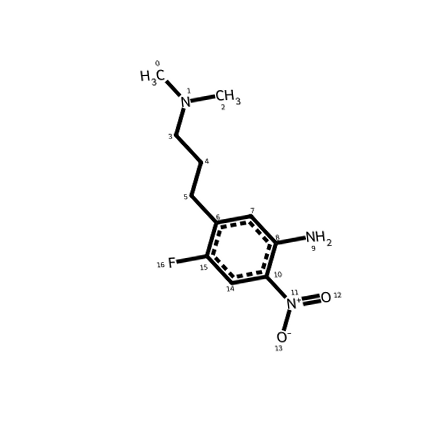 CN(C)CCCc1cc(N)c([N+](=O)[O-])cc1F